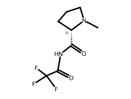 CN1CCC[C@H]1C(=O)NC(=O)C(F)(F)F